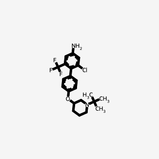 CC(C)(C)N1CCCC(Oc2ccc(-c3c(Cl)cc(N)cc3C(F)(F)F)cc2)C1